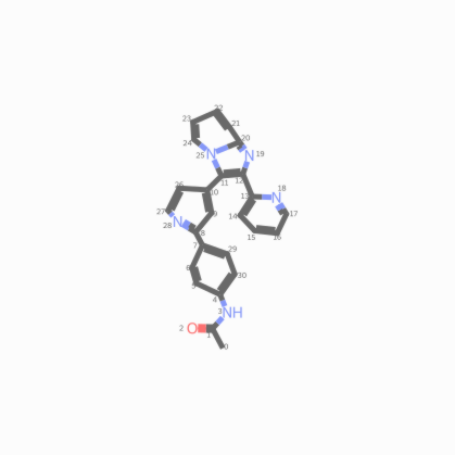 CC(=O)Nc1ccc(-c2cc(-c3c(-c4ccccn4)nc4ccccn34)ccn2)cc1